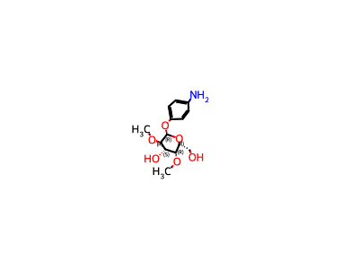 CO[C@@H]1[C@H](O)[C@@H](OC)[C@@H](Oc2ccc(N)cc2)O[C@@H]1CO